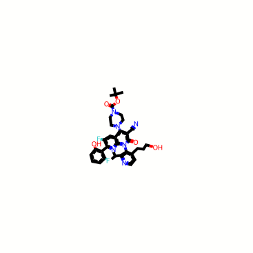 CC(C)c1nccc(CCCO)c1-n1c(=O)c(C#N)c(N2CCN(C(=O)OC(C)(C)C)CC2)c2cc(F)c(-c3c(O)cccc3F)nc21